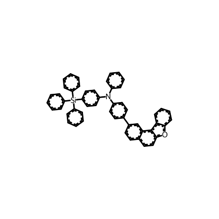 c1ccc(N(c2ccc(-c3ccc4ccc5oc6ccccc6c5c4c3)cc2)c2ccc([Si](c3ccccc3)(c3ccccc3)c3ccccc3)cc2)cc1